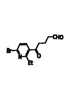 CCc1nc(Br)ccc1C(=O)CCCC=O